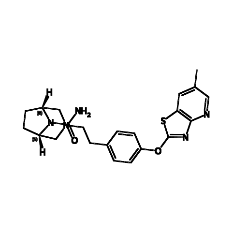 Cc1cnc2nc(Oc3ccc(CCN4C[C@H]5CC[C@@H](C4)N5C(N)=O)cc3)sc2c1